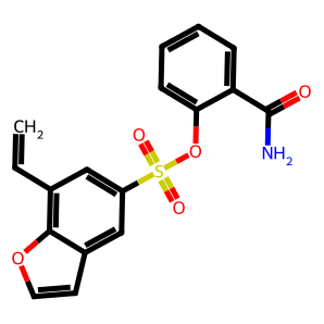 C=Cc1cc(S(=O)(=O)Oc2ccccc2C(N)=O)cc2ccoc12